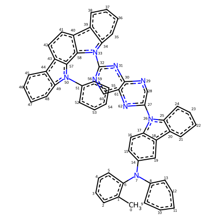 Cc1ccccc1N(c1ccccc1)c1ccc2c(c1)c1ccccc1n2-c1cnc2nc(-n3c4ccccc4c4ccc5c6ccccc6n(-c6ccccc6)c5c43)ncc2n1